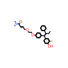 CC/C(=C(/c1ccc(OCCOC/C=C/C(=O)N(C)C)cc1)c1ccc(O)c(F)c1)c1ccccc1